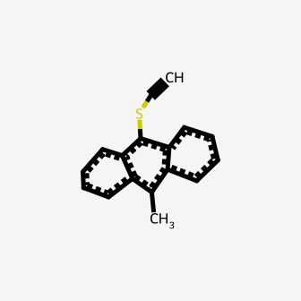 C#CSc1c2ccccc2c(C)c2ccccc12